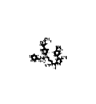 CCC[C@@H](CCCN(C(=O)NCc1ccccc1)c1ccc(-c2cnn(C)c2)cn1)Nc1ncc(C#N)c(-c2ccc3cnsc3c2)n1